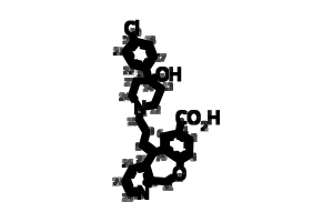 O=C(O)c1ccc2c(c1)C(=CCCN1CCC(O)(c3ccc(Cl)cc3)CC1)c1cccnc1CO2